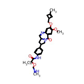 CNCO[C@H](C)C(=O)Nc1ccc(C2CC3C=Nc4cc(OCC5C=C(C)C5)c(OC)cc4C(=O)N3C2)cc1